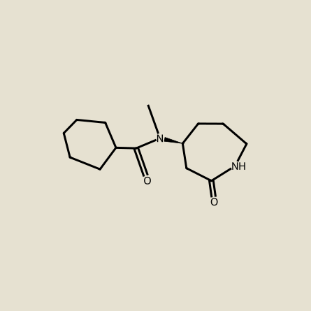 CN(C(=O)C1CCCCC1)[C@H]1CCCNC(=O)C1